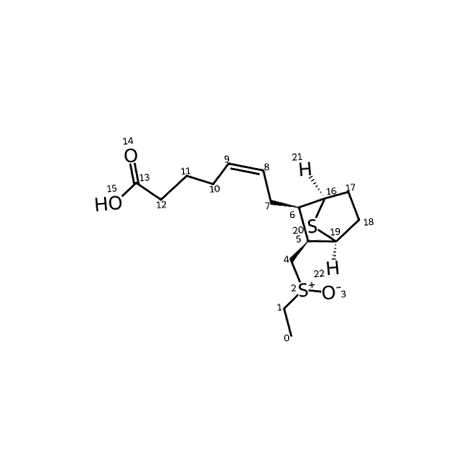 CC[S+]([O-])C[C@H]1[C@@H](C/C=C\CCCC(=O)O)[C@H]2CC[C@@H]1S2